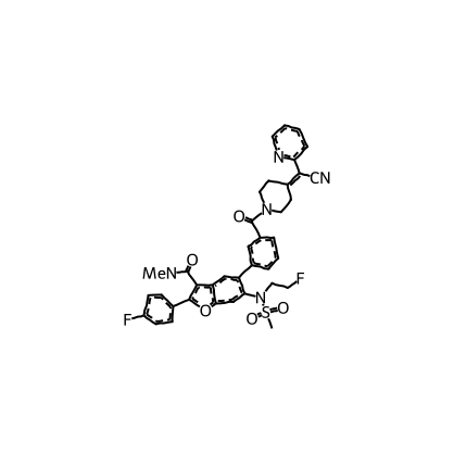 CNC(=O)c1c(-c2ccc(F)cc2)oc2cc(N(CCF)S(C)(=O)=O)c(-c3cccc(C(=O)N4CCC(=C(C#N)c5ccccn5)CC4)c3)cc12